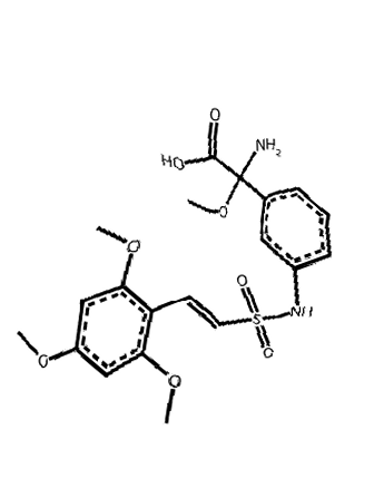 COc1cc(OC)c(C=CS(=O)(=O)Nc2cccc(C(N)(OC)C(=O)O)c2)c(OC)c1